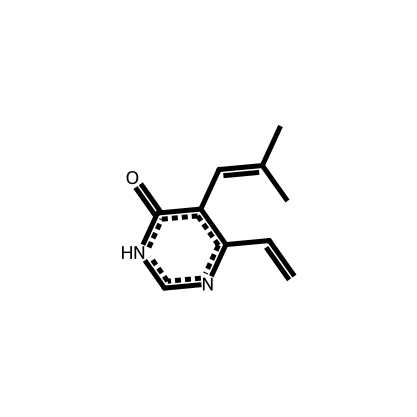 C=Cc1nc[nH]c(=O)c1C=C(C)C